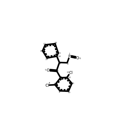 O=PCC(C(=O)c1c(Cl)cccc1Cl)c1ccccc1